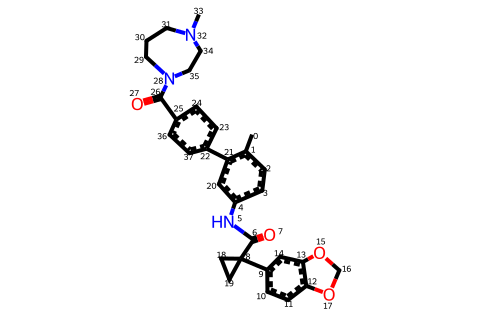 Cc1ccc(NC(=O)C2(c3ccc4c(c3)OCO4)CC2)cc1-c1ccc(C(=O)N2CCCN(C)CC2)cc1